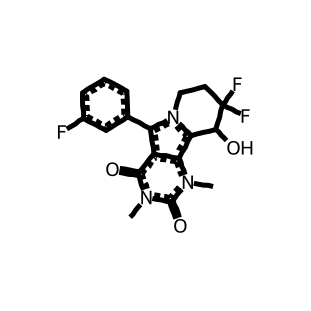 Cn1c(=O)c2c(-c3cccc(F)c3)n3c(c2n(C)c1=O)C(O)C(F)(F)CC3